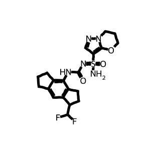 NS(=O)(=NC(=O)Nc1c2c(cc3c1CCC3C(F)F)CCC2)c1cnn2c1OCCC2